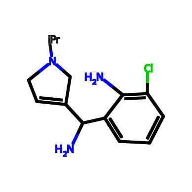 CC(C)N1CC=C(C(N)c2cccc(Cl)c2N)C1